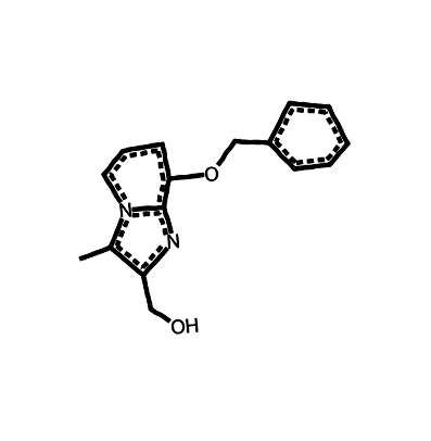 Cc1c(CO)nc2c(OCc3ccccc3)cccn12